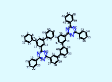 c1ccc(-c2cc(-c3ccccc3)cc(-c3nc(-c4ccccc4)nc(-c4cccc(-c5cccc(-c6cccc(-c7nc(-c8ccccc8)nc(-c8ccccc8)n7)c6)c5)c4)n3)c2)cc1